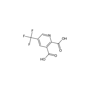 O=C(O)c1cc(C(F)(F)F)cnc1C(=O)O